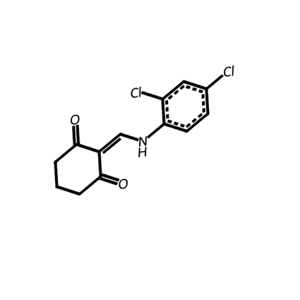 O=C1CCCC(=O)C1=CNc1ccc(Cl)cc1Cl